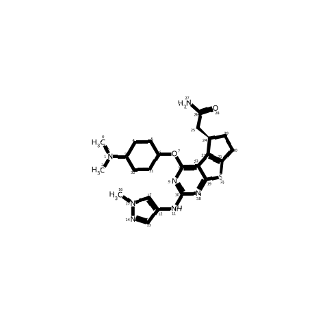 CN(C)C1CCC(Oc2nc(Nc3cnn(C)c3)nc3sc4c(c23)[C@@H](CC(N)=O)CC4)CC1